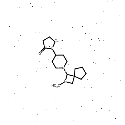 C[C@H]1CCC(=O)N1C1CCN(C2N(C(=O)O)CC23CCCC3)CC1